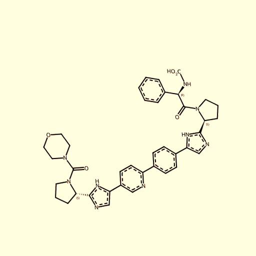 O=C(O)N[C@@H](C(=O)N1CCC[C@H]1c1ncc(-c2ccc(-c3ccc(-c4cnc([C@@H]5CCCN5C(=O)N5CCOCC5)[nH]4)cn3)cc2)[nH]1)c1ccccc1